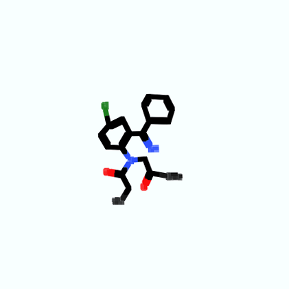 COC(=O)CN(C(=O)CC(C)(C)C)c1ccc(Cl)cc1C(=N)c1ccccc1